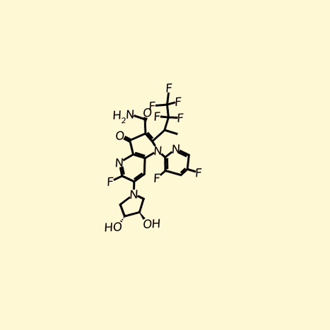 CC(c1c(C(N)=O)c(=O)c2nc(F)c(N3C[C@@H](O)[C@H](O)C3)cc2n1-c1ncc(F)cc1F)C(F)(F)C(F)(F)F